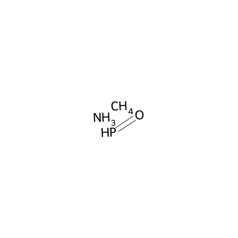 C.N.O=P